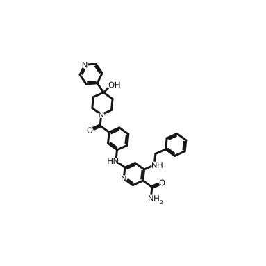 NC(=O)c1cnc(Nc2cccc(C(=O)N3CCC(O)(c4ccncc4)CC3)c2)cc1NCc1ccccc1